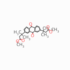 COC(=O)CC(C)(C)c1ccc2c(c1)C(=O)c1cc(C(C)(C)CC(=O)OC)ccc1C2=O